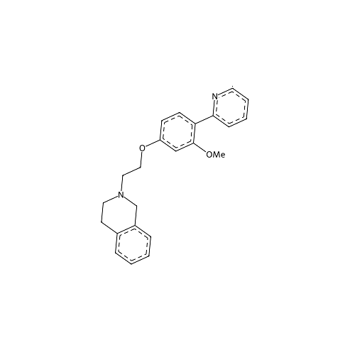 COc1cc(OCCN2CCc3ccccc3C2)ccc1-c1ccc[c]n1